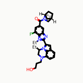 CCC1CN(CCCO)c2cccc3cc(-c4nc5cc(C(=O)N6C[C@H]7CC[C@@H]6C7)cc(F)c5n4CC)n1c23